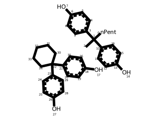 CCCCCC(C)(c1ccc(O)cc1)c1ccc(O)cc1.Oc1ccc(C2(c3ccc(O)cc3)CCCCC2)cc1